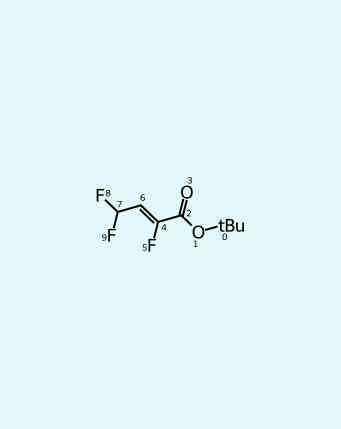 CC(C)(C)OC(=O)C(F)=CC(F)F